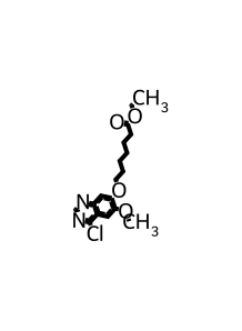 CCOC(=O)CCCCCCOc1cc2ncnc(Cl)c2cc1OC